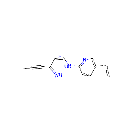 C=Cc1ccc(N/C=C\C(=N)C#CC)nc1